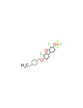 CCC1CCC(COc2ccc3c(oc4c(F)c(OC(F)(F)F)ccc43)c2F)CC1